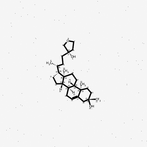 C[C@H](CC[C@]1(O)CCOC1)[C@H]1CC[C@H]2[C@@H]3CC=C4C[C@](O)(C(F)(F)F)CC[C@]4(C)[C@H]3CC[C@]12C